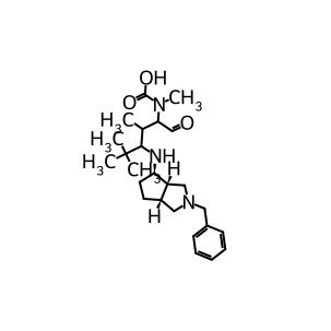 CC(C(C=O)N(C)C(=O)O)C(N[C@@H]1CC[C@H]2CN(Cc3ccccc3)C[C@H]21)C(C)(C)C